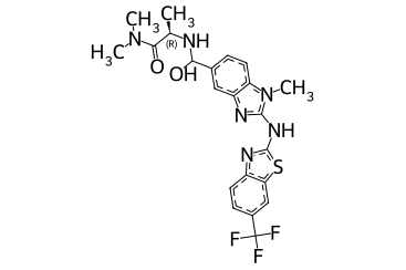 C[C@@H](NC(O)c1ccc2c(c1)nc(Nc1nc3ccc(C(F)(F)F)cc3s1)n2C)C(=O)N(C)C